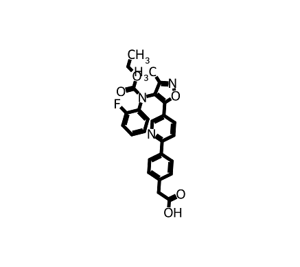 CCOC(=O)N(c1ccccc1F)c1c(C)noc1-c1ccc(-c2ccc(CC(=O)O)cc2)nc1